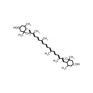 CC(/C=C/C=C(C)/C=C/C1C(C)C[C@@H](O)CC1(C)C)=C\C=C\C=C(C)\C=C\C=C(C)\C=C\[C@H]1C(C)C[C@H](O)CC1(C)C